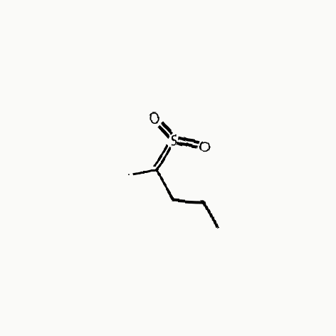 [CH2]C(CCC)=S(=O)=O